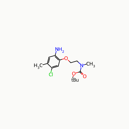 Cc1cc(N)c(OCCN(C)C(=O)OC(C)(C)C)cc1Cl